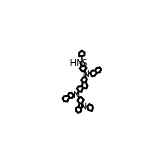 c1ccc(C2Nc3ccc(N(c4ccc5ccccc5c4)c4ccc5c(ccc6cc(N(c7ccc8ccccc8c7)c7ccc8c(c7)c7ccccc7n8-c7ccccc7)ccc65)c4)cc3S2)cc1